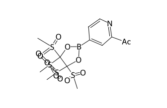 CC(=O)c1cc(B2OC(S(C)(=O)=O)(S(C)(=O)=O)C(S(C)(=O)=O)(S(C)(=O)=O)O2)ccn1